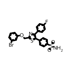 NS(=O)(=O)c1ccc(-c2sc(COc3cccc(Br)c3)nc2-c2ccc(F)cc2)cc1